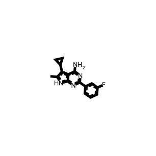 Cc1[nH]c2nc(-c3cccc(F)c3)nc(N)c2c1C1CC1